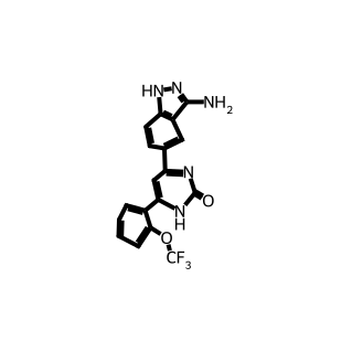 Nc1n[nH]c2ccc(-c3cc(-c4ccccc4OC(F)(F)F)[nH]c(=O)n3)cc12